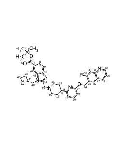 CC(C)(C)OC(=O)c1ccc2nc(CN3CCC(c4cccc(OCc5cc6cccnc6cc5F)n4)CC3)n(CC3CCO3)c2c1